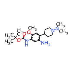 COc1cc(C2CCN(N(C)C)CC2)c(N)cc1NC(=O)OC(C)(C)C